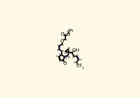 CC(C)OC(=O)COC/C=C\CC1C=CC(=O)/C1=C/C1(C(O)C/C=C\CC(F)(F)F)CC1